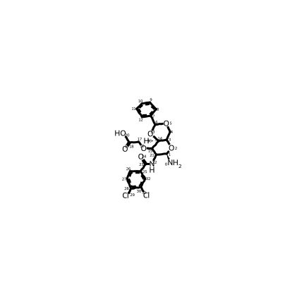 N[C@@H]1OC2COC(c3ccccc3)O[C@@H]2C(OCC(=O)O)C1NC(=O)c1ccc(Cl)c(Cl)c1